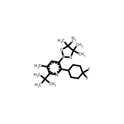 Cc1cc(B2OC(C)(C)C(C)(C)O2)c(C2CCC(F)(F)CC2)nc1C(C)(C)C